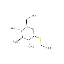 CC(=O)OC[C@H]1O[C@@H](SC[C]=O)[C@H](OC(C)=O)[C@@H](OC(C)=O)[C@@H]1OC(C)=O